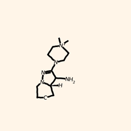 C[N+]1(C)CCN(C2=NN3CCCC[C@H]3C2N)CC1